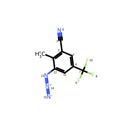 Cc1c(C#N)cc(C(F)(F)F)cc1N=[N+]=[N-]